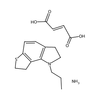 CCCN1CCc2ccc3c(c21)CCS3.N.O=C(O)C=CC(=O)O